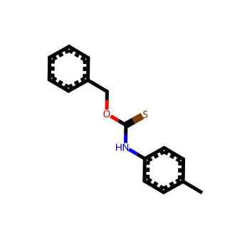 Cc1ccc(NC(=S)OCc2ccccc2)cc1